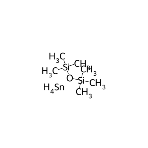 C[Si](C)(C)O[Si](C)(C)C.[SnH4]